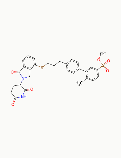 CCCOS(=O)(=O)c1ccc(C)c(-c2ccc(CCCSc3cccc4c3CN(C3CCC(=O)NC3=O)C4=O)cc2)c1